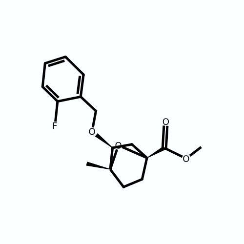 COC(=O)[C@@]12CC[C@@](C)(O1)[C@@H](OCc1ccccc1F)C2